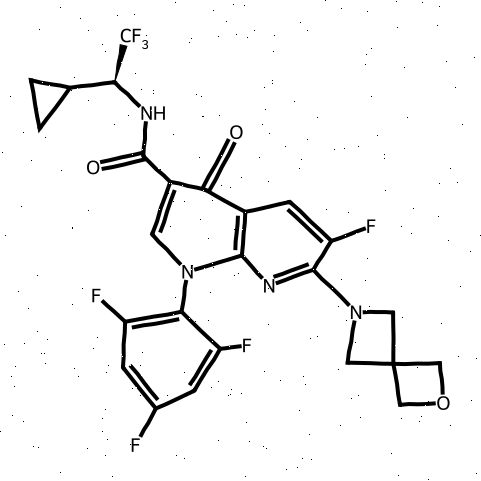 O=C(N[C@@H](C1CC1)C(F)(F)F)c1cn(-c2c(F)cc(F)cc2F)c2nc(N3CC4(COC4)C3)c(F)cc2c1=O